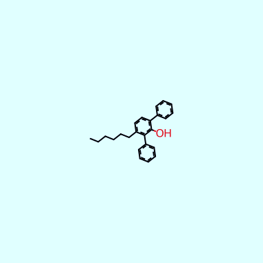 CCCCCCc1ccc(-c2ccccc2)c(O)c1-c1ccccc1